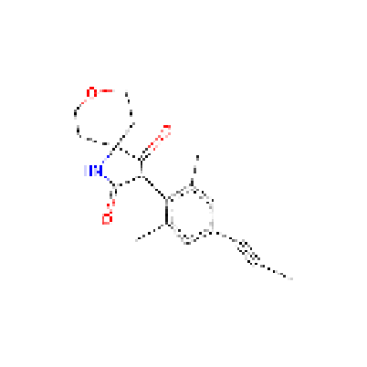 CC#Cc1cc(C)c(C2C(=O)NC3(CCOCC3)C2=O)c(C)c1